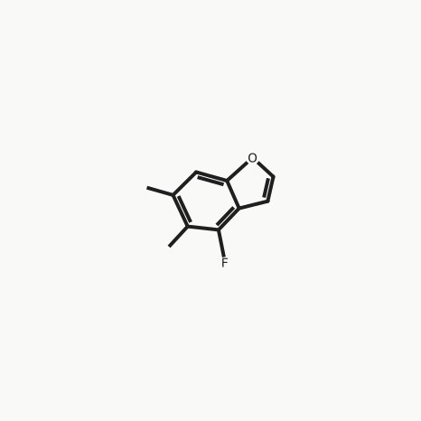 Cc1cc2occc2c(F)c1C